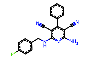 N#Cc1c(N)nc(NCc2ccc(F)cc2)c(C#N)c1-c1ccccc1